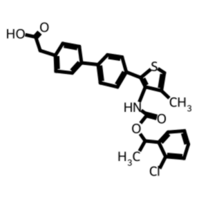 Cc1csc(-c2ccc(-c3ccc(CC(=O)O)cc3)cc2)c1NC(=O)OC(C)c1ccccc1Cl